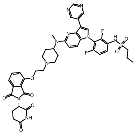 CCCS(=O)(=O)Nc1ccc(F)c(-n2cc(-c3cncnc3)c3nc(N(C)C4CCN(CCOc5cccc6c5C(=O)N([C@H]5CCC(=O)NC5=O)C6=O)CC4)ccc32)c1F